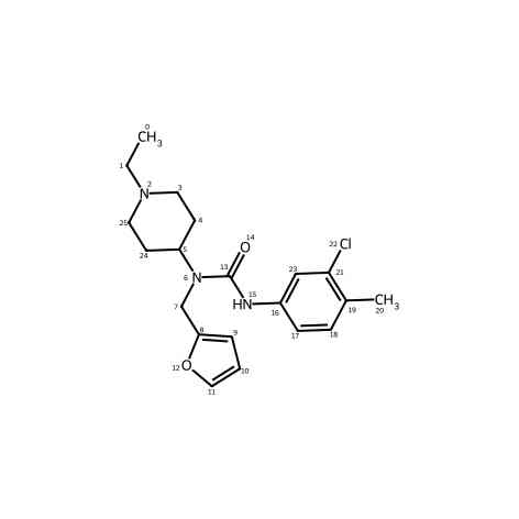 CCN1CCC(N(Cc2ccco2)C(=O)Nc2ccc(C)c(Cl)c2)CC1